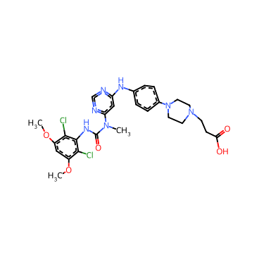 COc1cc(OC)c(Cl)c(NC(=O)N(C)c2cc(Nc3ccc(N4CCN(CCC(=O)O)CC4)cc3)ncn2)c1Cl